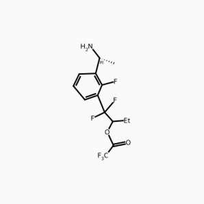 CCC(OC(=O)C(F)(F)F)C(F)(F)c1cccc([C@@H](C)N)c1F